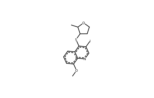 COc1cccc2c(SC3CCOC3C)c(I)cnc12